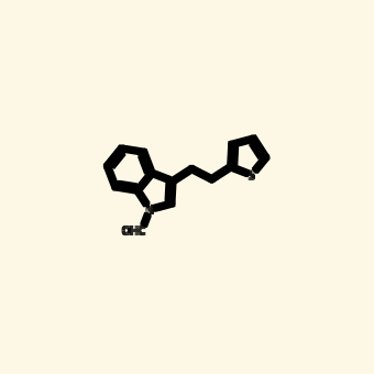 O=Cn1cc(C[CH]c2cccs2)c2ccccc21